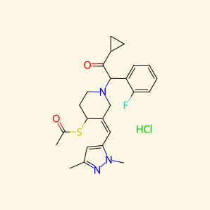 CC(=O)SC1CCN(C(C(=O)C2CC2)c2ccccc2F)CC1=Cc1cc(C)nn1C.Cl